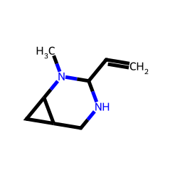 C=CC1NCC2CC2N1C